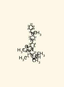 CCCC(c1nc2ccc(N3CCC(N(C)Cc4ccccc4)CC3)cc2c(=O)n1CC)N1C[C@@H](C)N[C@@H](C)C1